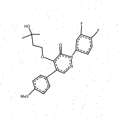 CSc1ccc(-c2cnn(-c3ccc(F)c(F)c3)c(=O)c2OCCC(C)(C)O)cc1